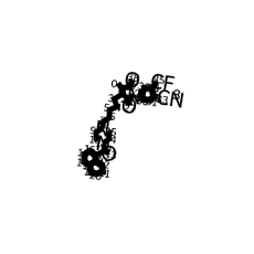 CC1=C(CCCCCN2CCN(C(=O)c3cccc4ccccc34)CC2)C(=O)N(c2ccc(C#N)c(C(F)(F)F)c2)C1=O